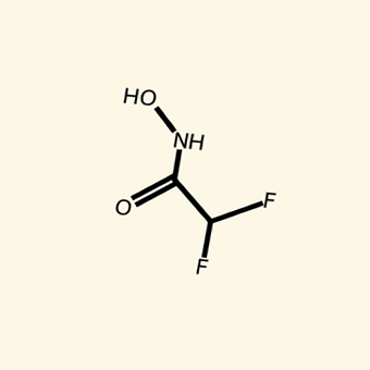 O=C(NO)C(F)F